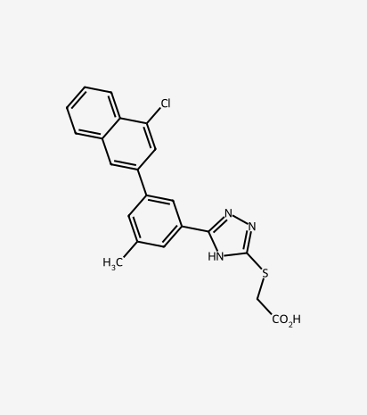 Cc1cc(-c2cc(Cl)c3ccccc3c2)cc(-c2nnc(SCC(=O)O)[nH]2)c1